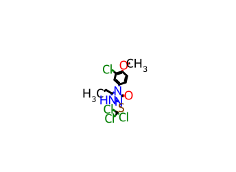 CCC1NN(SC(Cl)(Cl)Cl)C(=O)N1c1ccc(OC)c(Cl)c1